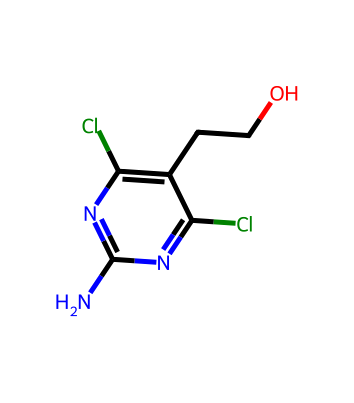 Nc1nc(Cl)c(CCO)c(Cl)n1